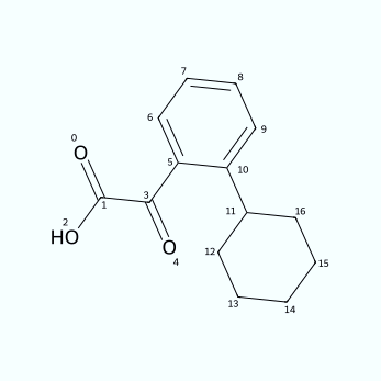 O=C(O)C(=O)c1ccccc1C1CCCCC1